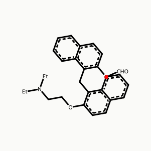 CCN(CC)CCOc1ccc2ccccc2c1Cc1c(OC=O)ccc2ccccc12